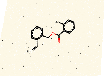 C=Cc1ccccc1COC(=O)c1ccccc1C(C)=O